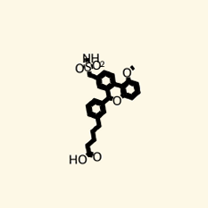 COc1cccc2c1-c1ccc(CS(N)(=O)=O)cc1C(c1cccc(CCCCC(=O)O)c1)O2